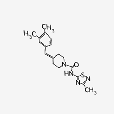 Cc1nsc(NC(=O)N2CCC(=Cc3ccc(C)c(C)c3)CC2)n1